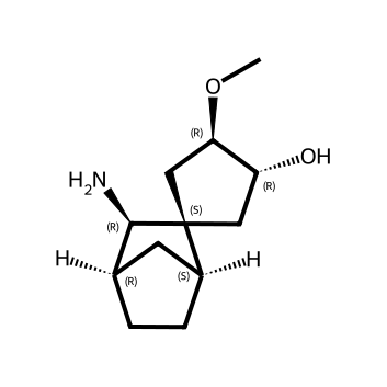 CO[C@@H]1C[C@@]2(C[C@H]1O)[C@H]1CC[C@H](C1)[C@H]2N